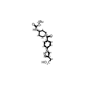 CC(C)(C)OC(=O)NC1CCN(C(=O)c2ccc(-n3cc(CC(=O)O)nn3)cc2)CC1